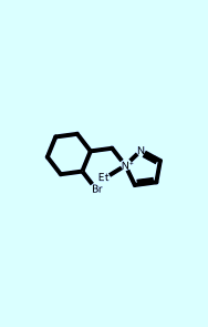 CC[N+]1(CC2CCCCC2Br)C=CC=N1